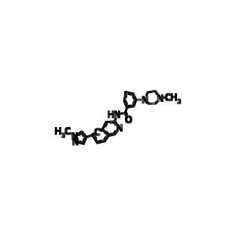 CN1CCN(c2cccc(C(=O)Nc3cc4cc(-c5cnn(C)c5)ccc4cn3)c2)CC1